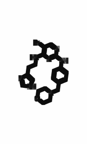 Brc1cnc(Nc2ccc(CN3CCOCC3)cc2)nc1NCCc1c[nH]cn1